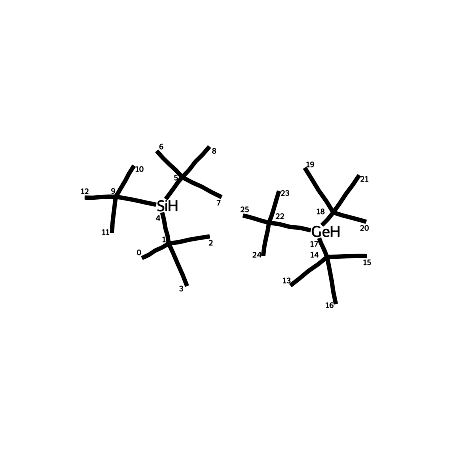 CC(C)(C)[SiH](C(C)(C)C)C(C)(C)C.C[C](C)(C)[GeH]([C](C)(C)C)[C](C)(C)C